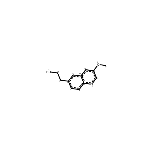 COc1cnc2ccc(CCO)cc2c1